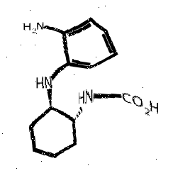 Nc1ccccc1N[C@@H]1CCCC[C@H]1NC(=O)O